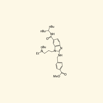 CCCCC(CCCC)NC(=O)c1ccc2nc(NCc3ccc(C(=O)OC)cc3)n(CCCN(CC)CCCC)c2c1